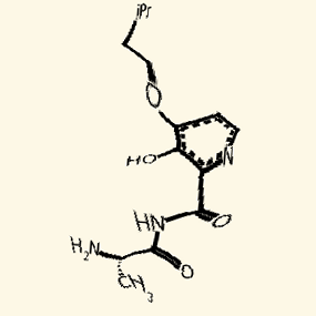 CC(C)CCOc1ccnc(C(=O)NC(=O)[C@H](C)N)c1O